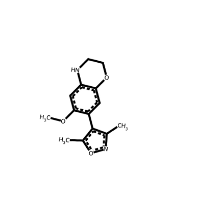 COc1cc2c(cc1-c1c(C)noc1C)OCCN2